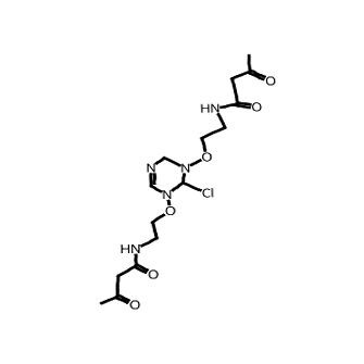 CC(=O)CC(=O)NCCON1C=NCN(OCCNC(=O)CC(C)=O)C1Cl